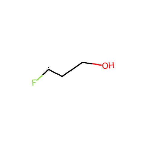 OCC[CH]F